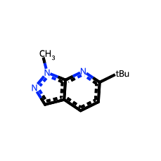 Cn1ncc2ccc(C(C)(C)C)nc21